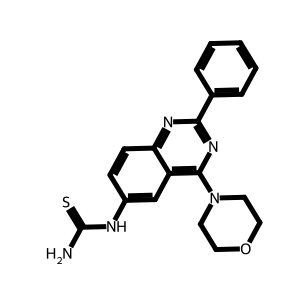 NC(=S)Nc1ccc2nc(-c3ccccc3)nc(N3CCOCC3)c2c1